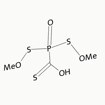 COSP(=O)(SOC)C(O)=S